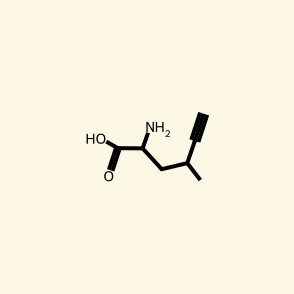 C#CC(C)CC(N)C(=O)O